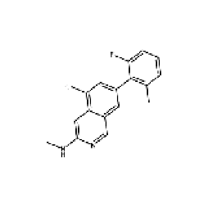 CNc1cc2c(Cl)cc(-c3c(C)cccc3F)cc2cn1